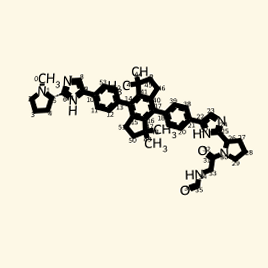 CN1CCC[C@H]1c1ncc(-c2ccc(-c3c4c(c(-c5ccc(-c6cnc(C7CCCN7C(=O)CNC=O)[nH]6)cc5)c5c3C(C)(C)CC5)C(C)(C)CC4)cc2)[nH]1